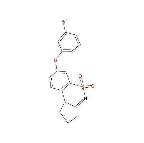 O=S1(=O)N=C2CCCN2c2ccc(Oc3cccc(Br)c3)cc21